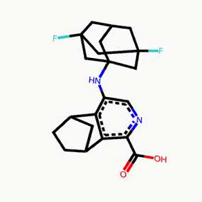 O=C(O)c1ncc(NC23CC4CC(F)(CC(F)(C4)C2)C3)c2c1C1CCC2C1